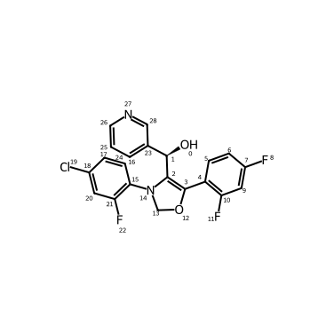 O[C@@H](C1=C(c2ccc(F)cc2F)OCN1c1ccc(Cl)cc1F)c1cccnc1